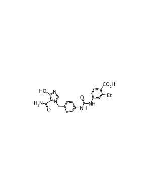 CCc1cc(NC(=O)Nc2ccc(Cn3cnc(O)c3C(N)=O)cc2)ccc1C(=O)O